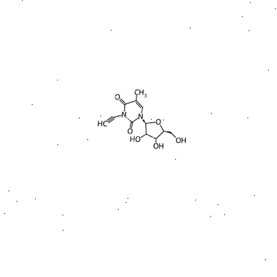 C#Cn1c(=O)c(C)cn([C@H]2O[C@@H](CO)C(O)C2O)c1=O